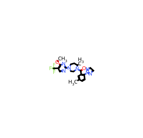 COc1nc(N2CCC(C)N(C(=O)c3cc(C)ccc3-n3nccn3)CC2)ncc1C(F)(F)F